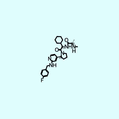 CN[C@@H](C)C(=O)N[C@H](C(=O)N1CCC[C@H]1c1ccnc(NCc2ccc(F)cc2)c1)C1CCCCC1